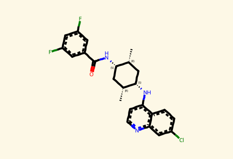 C[C@@H]1C[C@H](Nc2ccnc3cc(Cl)ccc23)[C@H](C)C[C@@H]1NC(=O)c1cc(F)cc(F)c1